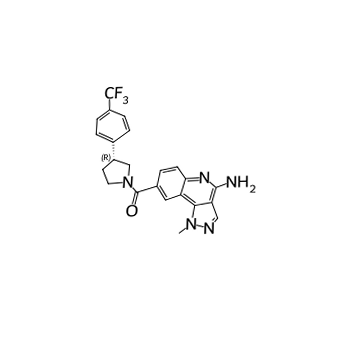 Cn1ncc2c(N)nc3ccc(C(=O)N4CC[C@H](c5ccc(C(F)(F)F)cc5)C4)cc3c21